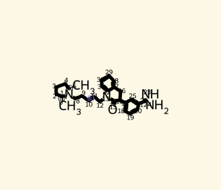 C[C@@H]1CCC[C@H](C)N1CC/C=C/CN1C(=O)C(c2cccc(C(=N)N)c2)Cc2ccccc21